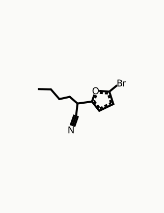 CCCCC(C#N)c1ccc(Br)o1